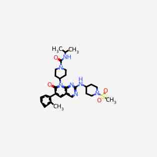 Cc1ccccc1-c1cc2cnc(NC3CCN(S(C)(=O)=O)CC3)nc2n(C2CCN(C(=O)NC(C)C)CC2)c1=O